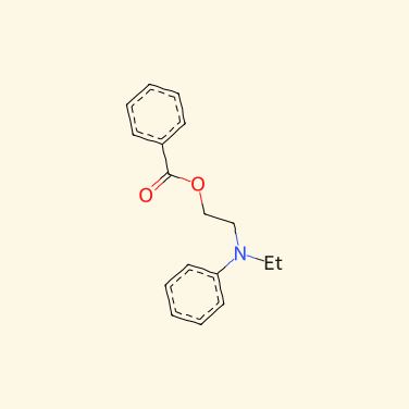 CCN(CCOC(=O)c1ccccc1)c1ccccc1